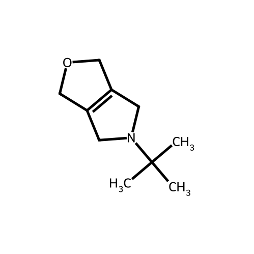 CC(C)(C)N1CC2=C(COC2)C1